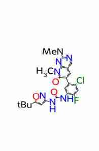 CNc1ncc2cc(-c3cc(NC(=O)Nc4cc(C(C)(C)C)on4)c(F)cc3Cl)c(=O)n(C)c2n1